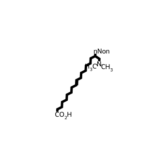 CCCCCCCCCC(CCCCCCC=CCCCCCCCC(=O)O)CN(C)C